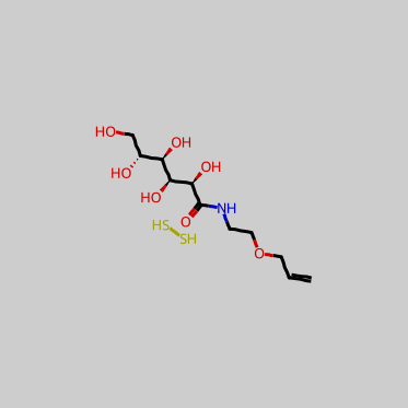 C=CCOCCNC(=O)[C@H](O)[C@@H](O)[C@H](O)[C@H](O)CO.SS